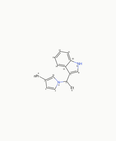 CCCc1ccn(C(CC)c2c[nH]c3ccccc23)c1